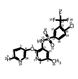 [2H]c1ccc(Oc2ncc(C)cc2NS(=O)(=O)c2ccc(Cl)c(C(F)(F)F)c2)cn1